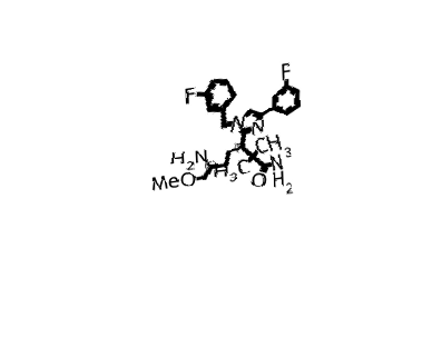 COC[C@@H](N)CC[C@@H](c1nc(-c2cccc(F)c2)cn1Cc1cccc(F)c1)C(C)(C)C(N)=O